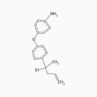 C=CCC(C)(CC)c1ccc(Oc2ccc(N)cc2)cc1